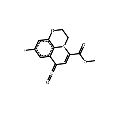 COC(=O)C1=CC(=C=O)c2cc(F)cc3c2N1CCO3